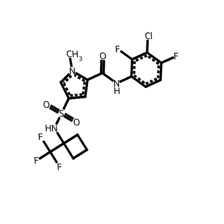 Cn1cc(S(=O)(=O)NC2(C(F)(F)F)CCC2)cc1C(=O)Nc1ccc(F)c(Cl)c1F